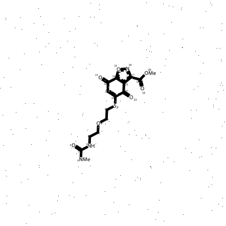 CNC(=O)NCCOCCSC1=CC(=O)c2onc(C(=O)OC)c2C1=O